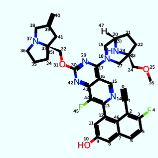 C#Cc1c(F)ccc2cc(O)cc(-c3ncc4c(N5C[C@@H]6CC[C@](COC)(C5)N6)nc(OC[C@@]56CCCN5CC(=C)C6)nc4c3F)c12